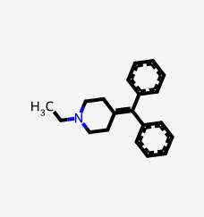 CCN1CCC(=C(c2ccccc2)c2ccccc2)CC1